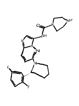 O=C(Nc1cnc2ccc(N3CCC[C@@H]3c3cc(F)ccc3F)nn12)N1CCNCC1